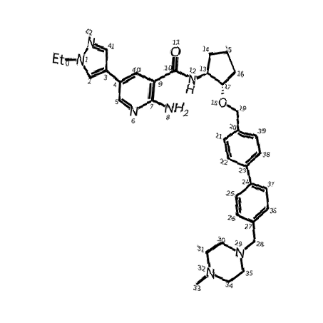 CCn1cc(-c2cnc(N)c(C(=O)N[C@H]3CCC[C@@H]3OCc3ccc(-c4ccc(CN5CCN(C)CC5)cc4)cc3)c2)cn1